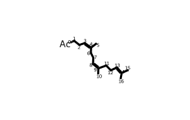 CC(=O)CC/C=C(/C)CC/C=C(/C)CCC=C(C)C